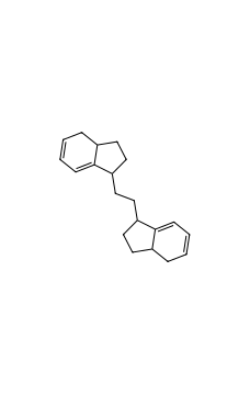 C1=CCC2CCC(CCC3CCC4CC=CC=C43)C2=C1